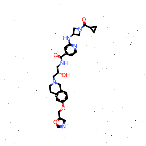 O=C(NC[C@H](O)CN1CCc2cc(OCc3cnco3)ccc2C1)c1ccnc(NC2CN(C(=O)C3CC3)C2)c1